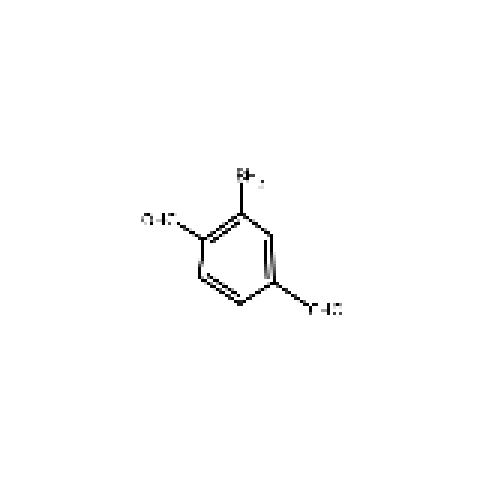 Bc1cc(C=O)ccc1C=O